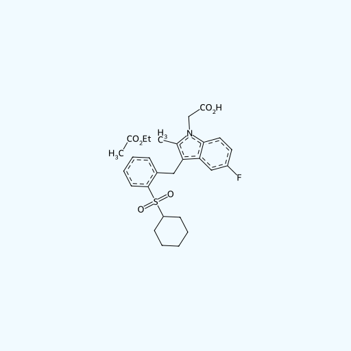 CCOC(C)=O.Cc1c(Cc2ccccc2S(=O)(=O)C2CCCCC2)c2cc(F)ccc2n1CC(=O)O